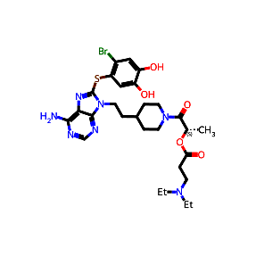 CCN(CC)CCC(=O)O[C@@H](C)C(=O)N1CCC(CCn2c(Sc3cc(O)c(O)cc3Br)nc3c(N)ncnc32)CC1